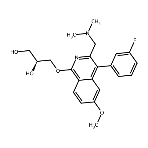 COc1ccc2c(OC[C@@H](O)CO)nc(CN(C)C)c(-c3cccc(F)c3)c2c1